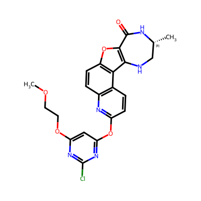 COCCOc1cc(Oc2ccc3c(ccc4oc5c(c43)NC[C@@H](C)NC5=O)n2)nc(Cl)n1